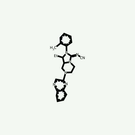 CCC1C2CN(c3cnc4ccccc4n3)CCN2/C(=N\C#N)N1c1ccccc1C